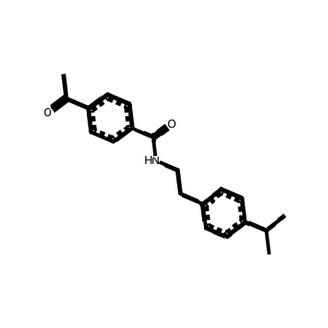 CC(=O)c1ccc(C(=O)NCCc2ccc(C(C)C)cc2)cc1